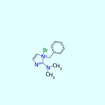 CN(C)C1=NC=C[N+]1(Br)Cc1ccccc1